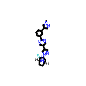 Cn1cc(-c2cccc(-c3ncc(-c4cnn([C@H]5C[C@@H]6CC[C@@H](N6)C5F)c4)cn3)c2)cn1